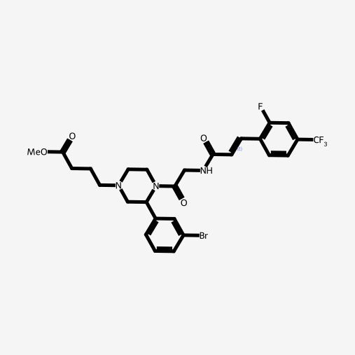 COC(=O)CCCN1CCN(C(=O)CNC(=O)/C=C/c2ccc(C(F)(F)F)cc2F)C(c2cccc(Br)c2)C1